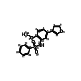 COc1ncc(-c2ccoc2)cc1NS(=O)(=O)c1ccccc1